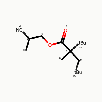 CC(C#N)COC(=O)C(C)(CC(C)(C)C)C(C)(C)C